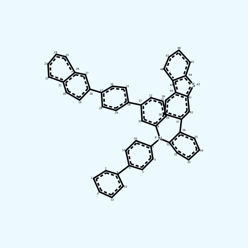 c1ccc(-c2ccc(N(c3cccc(-c4ccc(-c5ccc6ccccc6c5)cc4)c3)c3ccccc3-c3ccc4c(c3)sc3ccccc34)cc2)cc1